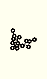 c1ccc(-c2ccc3c(N(c4ccccc4)c4ccc5oc6c7c(c(N(c8ccccc8)c8cccc9cc(-c%10ccccc%10)ccc89)cc6c5c4)-c4ccccc4C7(c4ccccc4)c4ccccc4)cccc3c2)cc1